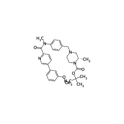 COc1cccc(-c2ccc(C(=O)N(C)c3ccc(CN4CCN(C(=O)OC(C)(C)C)[C@@H](C)C4)cc3)nc2)c1